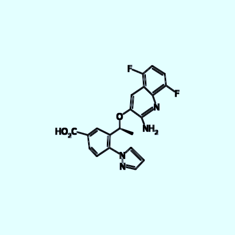 C[C@H](Oc1cc2c(F)ccc(F)c2nc1N)c1cc(C(=O)O)ccc1-n1cccn1